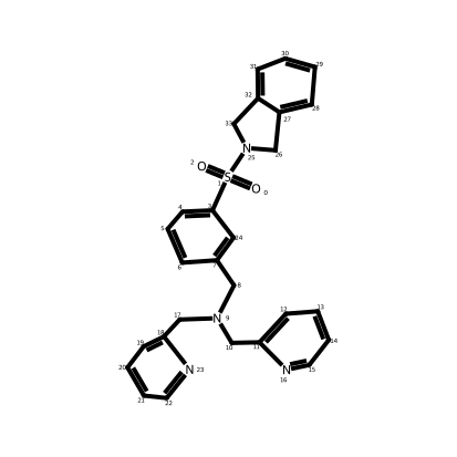 O=S(=O)(c1cccc(CN(Cc2ccccn2)Cc2ccccn2)c1)N1Cc2ccccc2C1